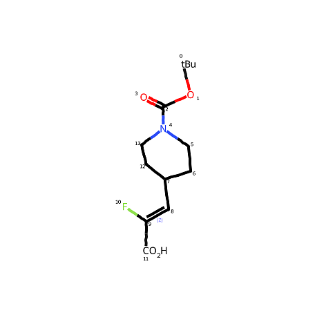 CC(C)(C)OC(=O)N1CCC(/C=C(\F)C(=O)O)CC1